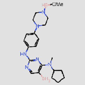 Bc1cnc(Nc2ccc(N3CCN(BOC)CC3)cc2)nc1N(C)C1CCCC1